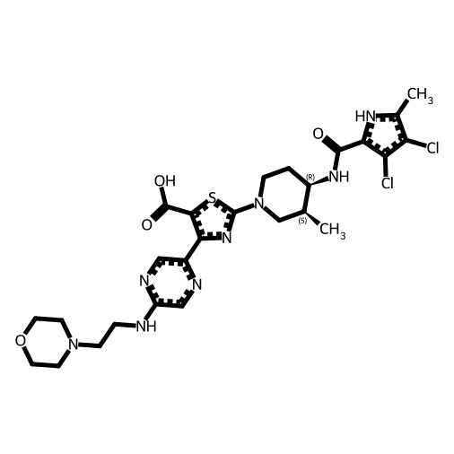 Cc1[nH]c(C(=O)N[C@@H]2CCN(c3nc(-c4cnc(NCCN5CCOCC5)cn4)c(C(=O)O)s3)C[C@@H]2C)c(Cl)c1Cl